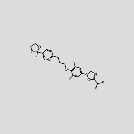 Cc1cc(N2CN=C(C(F)F)O2)cc(C)c1OCCCc1ccc(C2(C)OCCO2)nn1